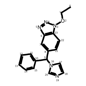 CCOn1nnc2cc(C(c3ccccc3)n3ccnc3)ccc21